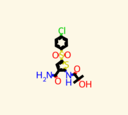 CC(C)(O)C(=O)Nc1sc(S(=O)(=O)c2ccc(Cl)cc2)cc1C(N)=O